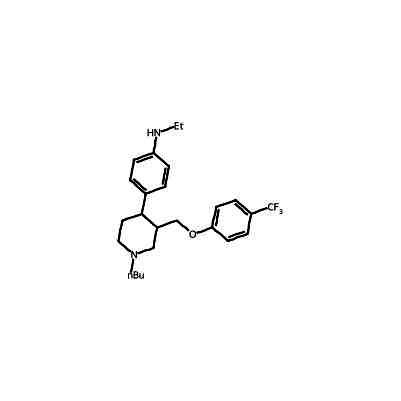 CCCCN1CCC(c2ccc(NCC)cc2)C(COc2ccc(C(F)(F)F)cc2)C1